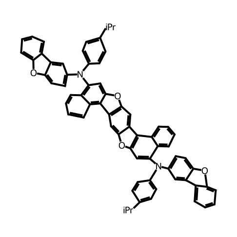 CC(C)c1ccc(N(c2ccc3oc4ccccc4c3c2)c2cc3oc4cc5c(cc4c3c3ccccc23)oc2cc(N(c3ccc(C(C)C)cc3)c3ccc4oc6ccccc6c4c3)c3ccccc3c25)cc1